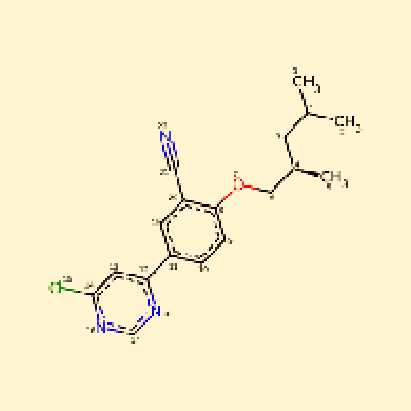 CC(C)C[C@@H](C)COc1ccc(-c2cc(Cl)ncn2)cc1C#N